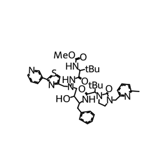 COC(=O)NC(C(=O)NN(Cc1csc(-c2cccnc2)n1)CC(O)C(Cc1ccccc1)NC(=O)C(N1CCN(Cc2cccc(C)n2)C1=O)C(C)(C)C)C(C)(C)C